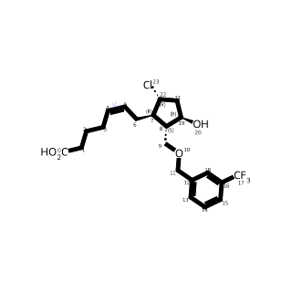 O=C(O)CCC/C=C\C[C@@H]1[C@@H](COCc2cccc(C(F)(F)F)c2)[C@H](O)C[C@H]1Cl